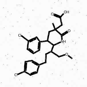 COCC(CCc1ccc(Cl)cc1)C1NC(=O)C(C)(CC(=O)O)CC1c1cccc(Cl)c1